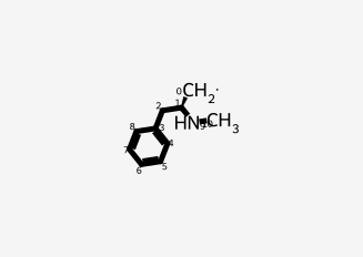 [CH2][C@H](Cc1ccccc1)NC